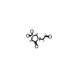 O=[C]CN1CS(=O)(=O)CC1=O